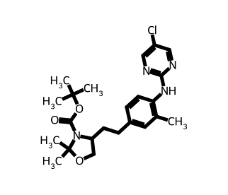 Cc1cc(CCC2COC(C)(C)N2C(=O)OC(C)(C)C)ccc1Nc1ncc(Cl)cn1